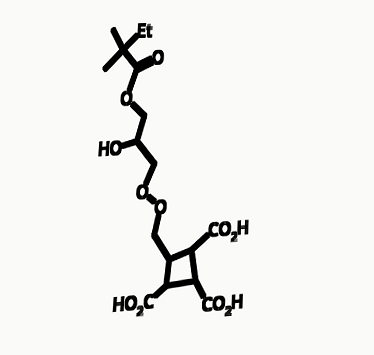 CCC(C)(C)C(=O)OCC(O)COOCC1C(C(=O)O)C(C(=O)O)C1C(=O)O